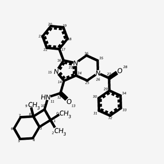 CC1(C)C2CCCCC2(C)C1NC(=O)c1nc(-c2ccccc2)n2c1CN(C(=O)c1ccccc1)CC2